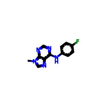 Cn1cnc2c(Nc3ccc(F)cc3)ncnc21